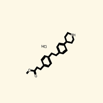 COC(=O)CCc1ccc(CCc2ccc(C3CCNCC3)cc2)cc1.Cl